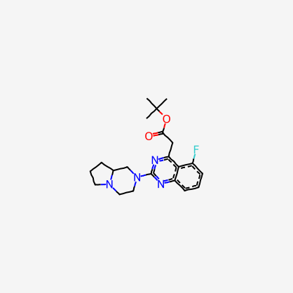 CC(C)(C)OC(=O)Cc1nc(N2CCN3CCCC3C2)nc2cccc(F)c12